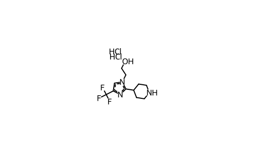 Cl.Cl.OCCn1cc(C(F)(F)F)nc1C1CCNCC1